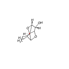 CC1C2OC3[C@@H]1O[C@@H](C2C)[C@@H]3O